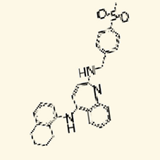 CS(=O)(=O)c1ccc(CNC2=C=CC(Nc3cccc4c3CCCC4)=c3ccccc3=N2)cc1